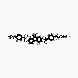 CCCC1CCC(C(=O)Oc2ccc3c(c2)C(C)(C)c2cc(OC(=O)C4CCC(CCOC)CC4)ccc2-3)CC1